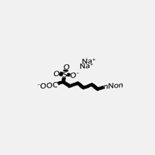 CCCCCCCCCCCCCCC(C(=O)[O-])S(=O)(=O)[O-].[Na+].[Na+]